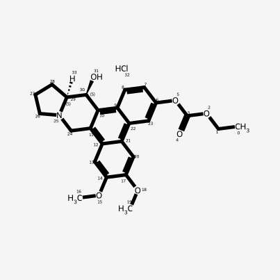 CCOC(=O)Oc1ccc2c3c(c4cc(OC)c(OC)cc4c2c1)CN1CCC[C@H]1[C@H]3O.Cl